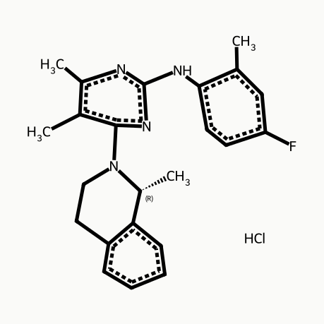 Cc1cc(F)ccc1Nc1nc(C)c(C)c(N2CCc3ccccc3[C@H]2C)n1.Cl